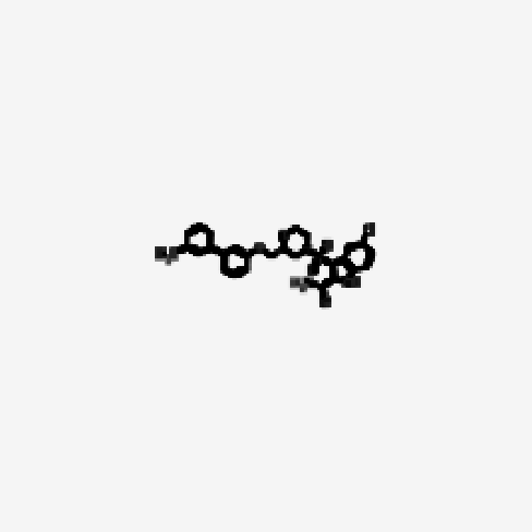 Cc1cccc(-c2cccc(OC[C@@H]3CN(S(=O)(=O)c4c(C(N)=O)[nH]c5ccc(Cl)cc45)CCO3)c2)c1